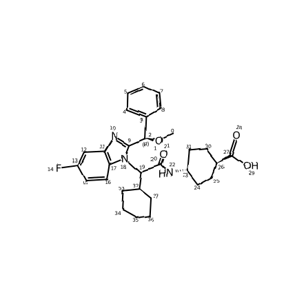 CO[C@H](c1ccccc1)c1nc2cc(F)ccc2n1C(C(=O)N[C@H]1CC[C@H](C(=O)O)CC1)C1CCCCC1